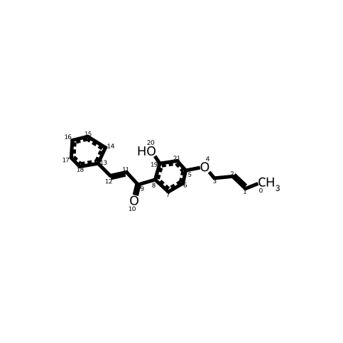 C/C=C/COc1ccc(C(=O)/C=C/c2ccccc2)c(O)c1